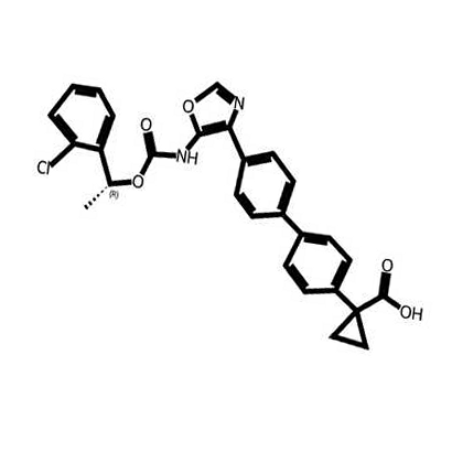 C[C@@H](OC(=O)Nc1ocnc1-c1ccc(-c2ccc(C3(C(=O)O)CC3)cc2)cc1)c1ccccc1Cl